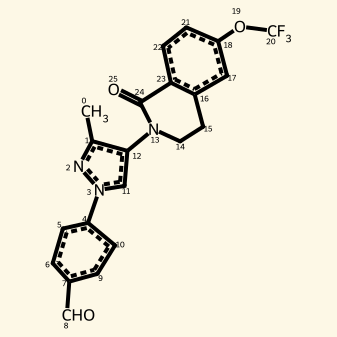 Cc1nn(-c2ccc(C=O)cc2)cc1N1CCc2cc(OC(F)(F)F)ccc2C1=O